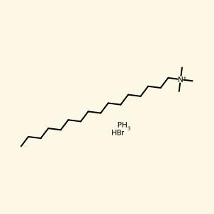 Br.CCCCCCCCCCCCCCCC[N+](C)(C)C.P